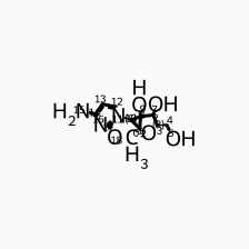 CC12O[C@H](CO)C(O)C1(O)[C@@H]2n1ccc(N)nc1=O